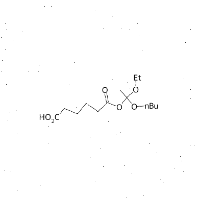 CCCCOC(C)(OCC)OC(=O)CCCCC(=O)O